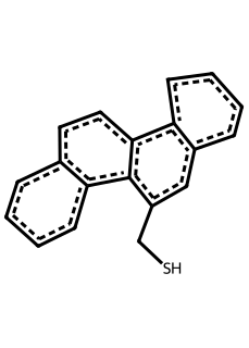 SCc1cc2ccccc2c2ccc3ccccc3c12